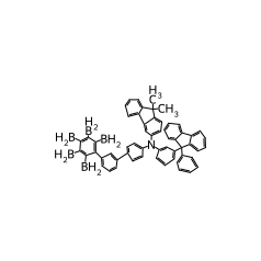 Bc1c(B)c(B)c(-c2cccc(-c3ccc(N(c4cccc(C5(c6ccccc6)c6ccccc6-c6ccccc65)c4)c4ccc5c(c4)-c4ccccc4C5(C)C)cc3)c2)c(B)c1B